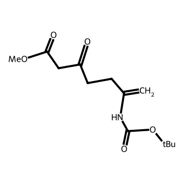 C=C(CCC(=O)CC(=O)OC)NC(=O)OC(C)(C)C